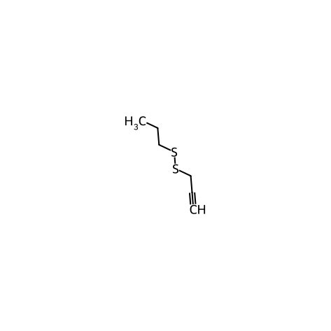 C#CCSSCCC